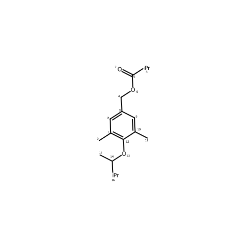 Cc1cc(COC(=O)C(C)C)cc(C)c1OC(C)C(C)C